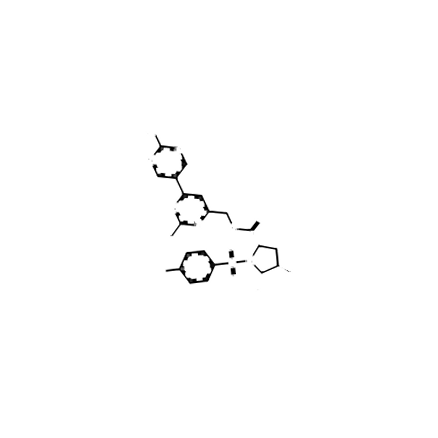 C[C@H]1[C@H](F)C[C@@H](C(=O)NCc2cc(-c3cnc(C(F)(F)F)nc3)nc(Cl)n2)N1S(=O)(=O)c1ccc(F)cc1